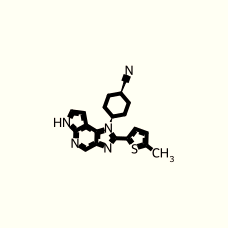 Cc1ccc(-c2nc3cnc4[nH]ccc4c3n2[C@H]2CC[C@H](C#N)CC2)s1